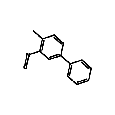 Cc1ccc(-c2ccccc2)cc1N=O